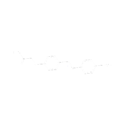 COc1ccc(/N=C/c2ccc(OCC(N)=O)cc2)cc1